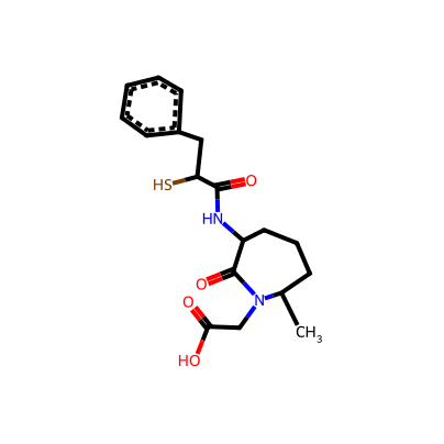 CC1CCCC(NC(=O)C(S)Cc2ccccc2)C(=O)N1CC(=O)O